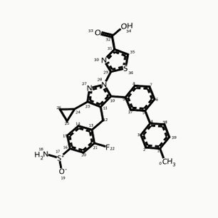 Cc1ccc(-c2cccc(-c3c(Cc4ccc([S+](N)[O-])cc4F)c(C4CC4)nn3-c3nc(C(=O)O)cs3)c2)cc1